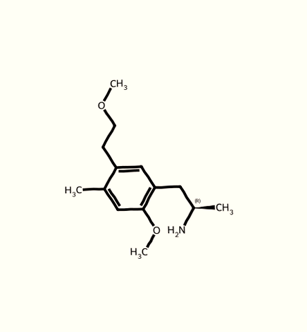 COCCc1cc(C[C@@H](C)N)c(OC)cc1C